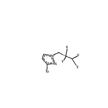 FC(F)C(F)(F)Cn1ccc(Br)n1